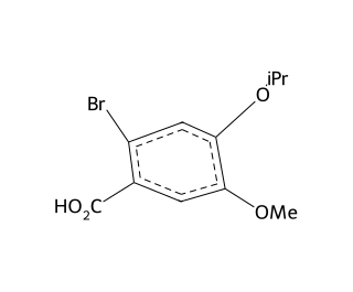 COc1cc(C(=O)O)c(Br)cc1OC(C)C